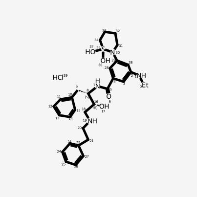 CCNc1cc(C(=O)N[C@@H](Cc2ccccc2)[C@H](O)CNCCc2ccccc2)cc(N2CCCCS2(O)O)c1.Cl